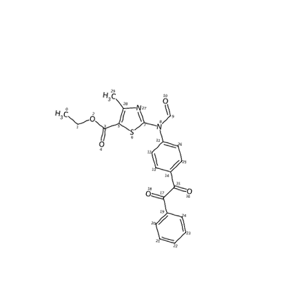 CCOC(=O)c1sc(N(C=O)c2ccc(C(=O)C(=O)c3ccccc3)cc2)nc1C